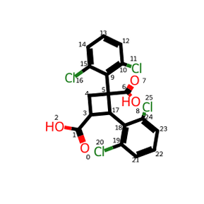 O=C(O)C1CC(C(=O)O)(c2c(Cl)cccc2Cl)C1c1c(Cl)cccc1Cl